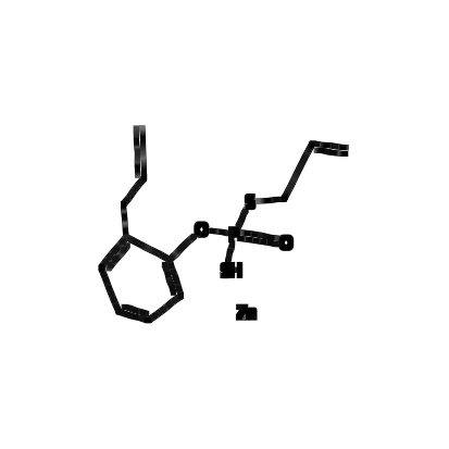 C=CCSP(=O)(S)Oc1ccccc1CC=C.[Zn]